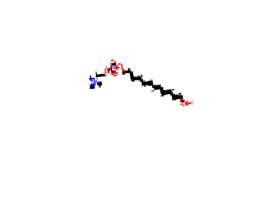 C[N+](C)(C)CCOP(=O)([O-])OCCCCCCCCCCCCO